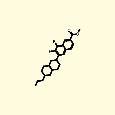 CCCC1CCC2CC(c3cc4ccc(C(=O)OC)cc4c(F)c3F)CCC2C1